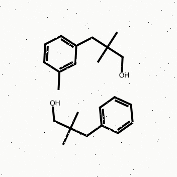 CC(C)(CO)Cc1ccccc1.Cc1cccc(CC(C)(C)CO)c1